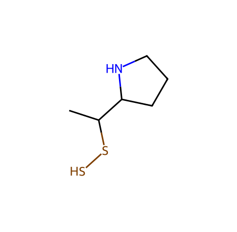 CC(SS)C1CCCN1